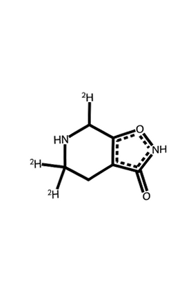 [2H]C1NC([2H])([2H])Cc2c1o[nH]c2=O